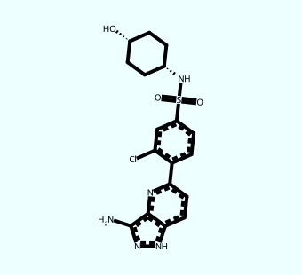 Nc1n[nH]c2ccc(-c3ccc(S(=O)(=O)N[C@H]4CC[C@@H](O)CC4)cc3Cl)nc12